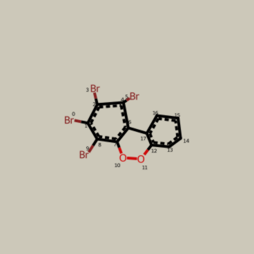 Brc1c(Br)c(Br)c2c(c1Br)OOc1ccccc1-2